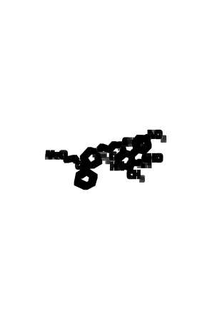 COCCOC1(c2ccccc2)CCN(CCCN(C=O)C2=C(C)NC(C)=C(NC=O)C2c2ccc([N+](=O)[O-])cc2)CC1